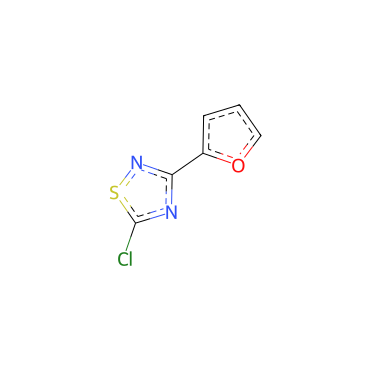 Clc1nc(-c2ccco2)ns1